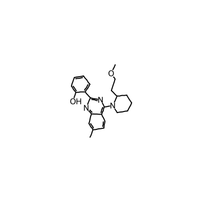 COCCC1CCCCN1c1nc(-c2ccccc2O)nc2cc(C)ccc12